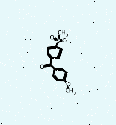 COc1ccc(C(=O)c2ccc(S(C)(=O)=O)cc2)cc1